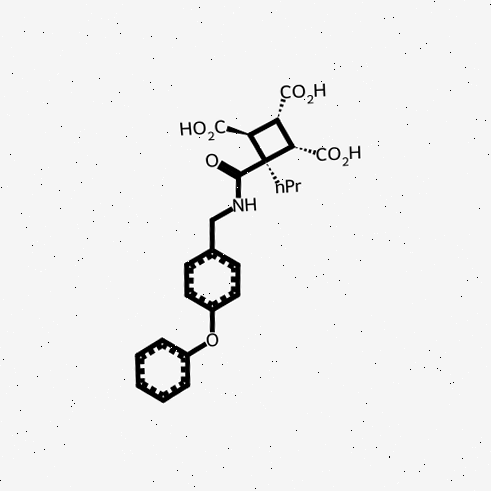 CCC[C@]1(C(=O)NCc2ccc(Oc3ccccc3)cc2)[C@@H](C(=O)O)[C@H](C(=O)O)[C@@H]1C(=O)O